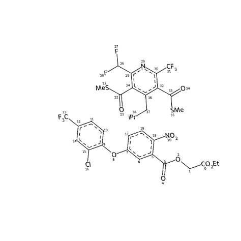 CCOC(=O)COC(=O)c1cc(Oc2ccc(C(F)(F)F)cc2Cl)ccc1[N+](=O)[O-].CSC(=O)c1c(C(F)F)nc(C(F)(F)F)c(C(=O)SC)c1CC(C)C